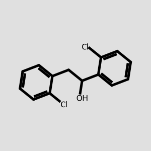 OC(Cc1ccccc1Cl)c1ccccc1Cl